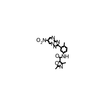 Cc1nc(C)c(C(=O)Nc2ccc(C)c(-c3nc4ncc([N+](=O)[O-])cn4n3)c2)o1